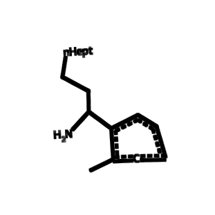 CCCCCCCCCC(N)c1ccccc1C